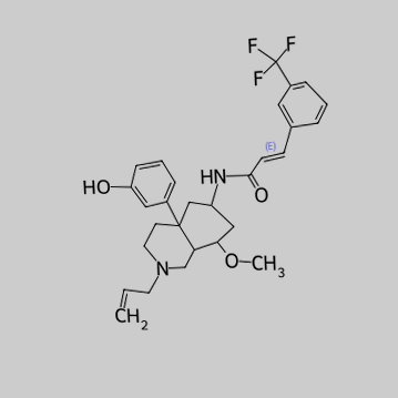 C=CCN1CCC2(c3cccc(O)c3)CC(NC(=O)/C=C/c3cccc(C(F)(F)F)c3)CC(OC)C2C1